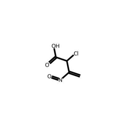 C=C(N=O)C(Cl)C(=O)O